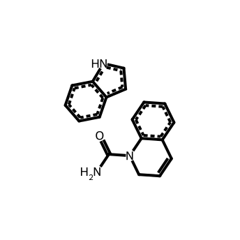 NC(=O)N1CC=Cc2ccccc21.c1ccc2[nH]ccc2c1